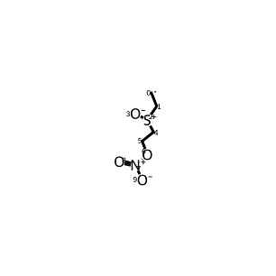 [CH2]C[S+]([O-])CCO[N+](=O)[O-]